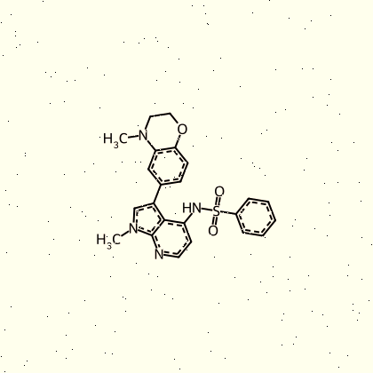 CN1CCOc2ccc(-c3cn(C)c4nccc(NS(=O)(=O)c5ccccc5)c34)cc21